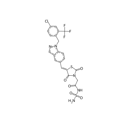 NS(=O)(=O)NC(=O)CN1C(=O)S/C(=C\c2ccc3c(cnn3Cc3ccc(Cl)cc3C(F)(F)F)c2)C1=O